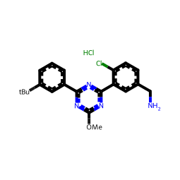 COc1nc(-c2cccc(C(C)(C)C)c2)nc(-c2cc(CN)ccc2Cl)n1.Cl